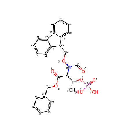 C[C@@H](OP(=O)(O)O)[C@@H](C(=O)OCc1ccccc1)N(C=O)OCC1c2ccccc2-c2ccccc21